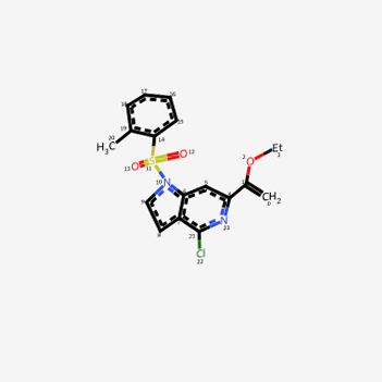 C=C(OCC)c1cc2c(ccn2S(=O)(=O)c2ccccc2C)c(Cl)n1